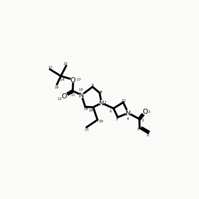 C=CC(=O)N1CC(N2CCN(C(=O)OC(C)(C)C)CC2CC)C1